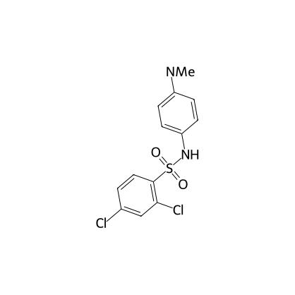 CNc1ccc(NS(=O)(=O)c2ccc(Cl)cc2Cl)cc1